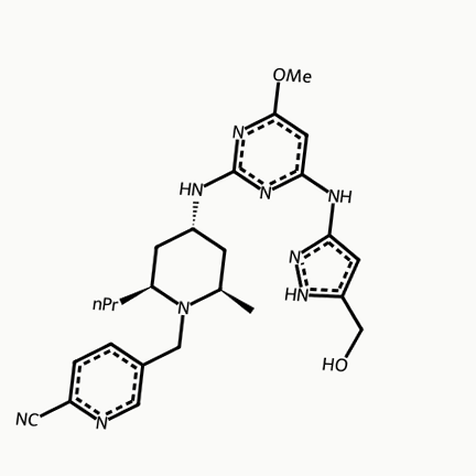 CCC[C@H]1C[C@H](Nc2nc(Nc3cc(CO)[nH]n3)cc(OC)n2)C[C@@H](C)N1Cc1ccc(C#N)nc1